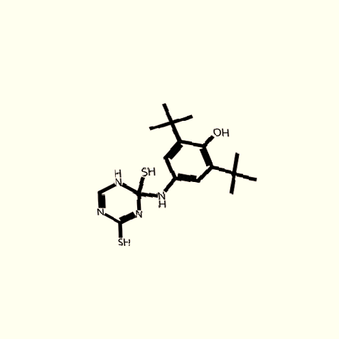 CC(C)(C)c1cc(NC2(S)N=C(S)N=CN2)cc(C(C)(C)C)c1O